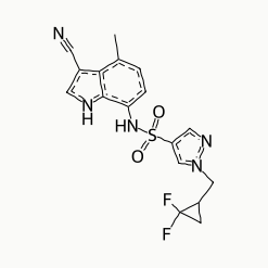 Cc1ccc(NS(=O)(=O)c2cnn(CC3CC3(F)F)c2)c2[nH]cc(C#N)c12